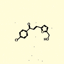 O=C(C=Cc1ccc(CO)o1)c1ccc(Cl)cc1